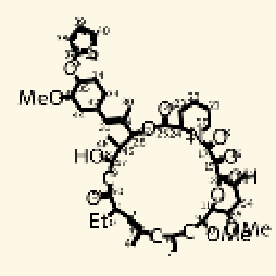 CCC1/C=C(\C)CC(C)CC(OC)C2OC(O)(C(=O)C(=O)N3CCCCC3C(=O)OC(C(C)=CC3CCC(Oc4cccs4)C(OC)C3)C(C)C(O)CC1=O)C(C)CC2OC